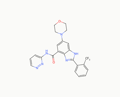 O=C(Nc1cccnn1)c1cc(N2CCOCC2)cc2[nH]c(-c3ccccc3C(F)(F)F)nc12